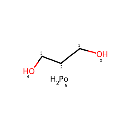 OCCCO.[PoH2]